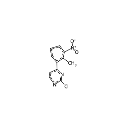 Cc1c(-c2ccnc(Cl)n2)cccc1[N+](=O)[O-]